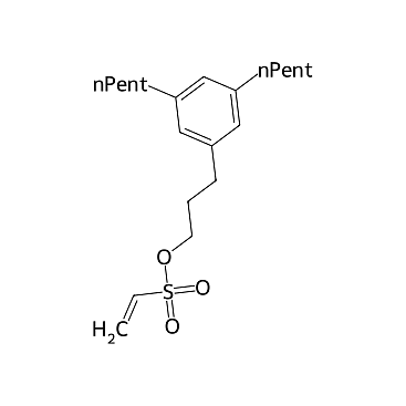 C=CS(=O)(=O)OCCCc1cc(CCCCC)cc(CCCCC)c1